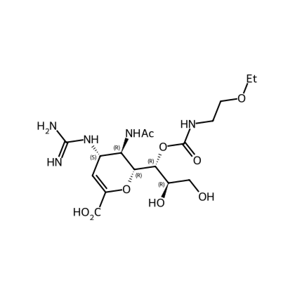 CCOCCNC(=O)O[C@@H]([C@@H]1OC(C(=O)O)=C[C@H](NC(=N)N)[C@H]1NC(C)=O)[C@H](O)CO